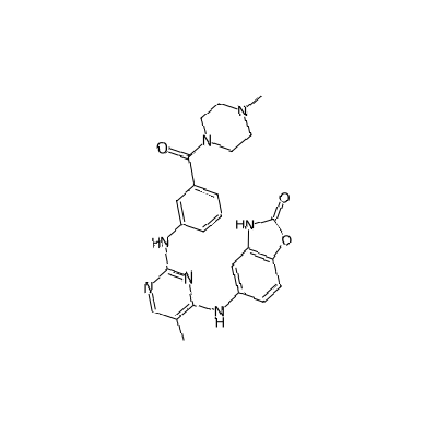 Cc1cnc(Nc2cccc(C(=O)N3CCN(C)CC3)c2)nc1Nc1ccc2oc(=O)[nH]c2c1